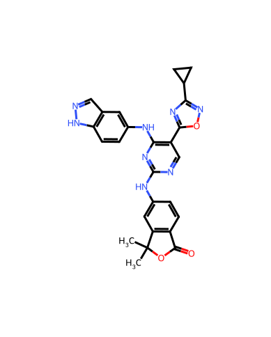 CC1(C)OC(=O)c2ccc(Nc3ncc(-c4nc(C5CC5)no4)c(Nc4ccc5[nH]ncc5c4)n3)cc21